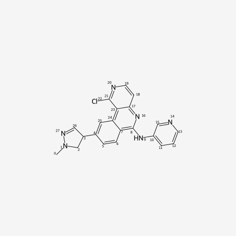 CN1CC(c2ccc3c(Nc4cccnc4)nc4ccnc(Cl)c4c3c2)C=N1